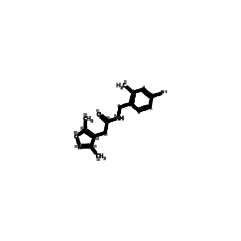 Cc1cc(F)ccc1CNC(=O)Cc1c(C)noc1C